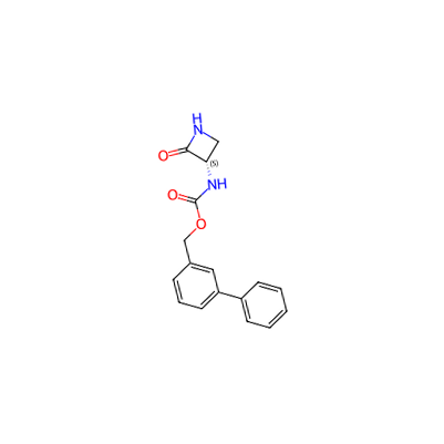 O=C(N[C@H]1CNC1=O)OCc1cccc(-c2ccccc2)c1